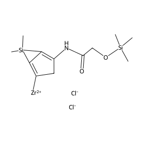 C[Si](C)(C)OCC(=O)NC1=C2C(=[C]([Zr+2])C1)[Si]2(C)C.[Cl-].[Cl-]